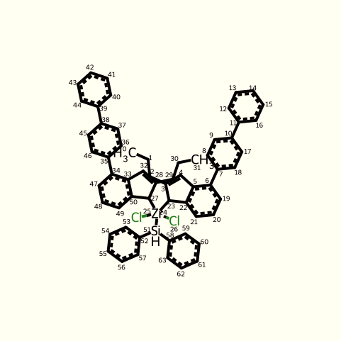 CCCC1=Cc2c(-c3ccc(-c4ccccc4)cc3)cccc2[CH]1[Zr]([Cl])([Cl])([CH]1C(CCC)=Cc2c(-c3ccc(-c4ccccc4)cc3)cccc21)[SiH](c1ccccc1)c1ccccc1